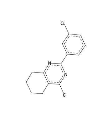 Clc1cccc(-c2nc(Cl)c3c(n2)CCCC3)c1